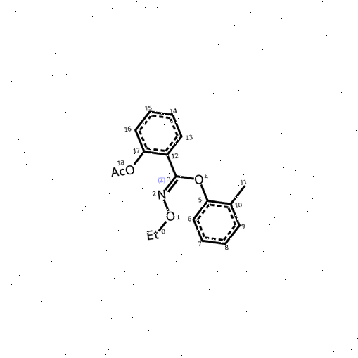 CCO/N=C(\Oc1ccccc1C)c1ccccc1OC(C)=O